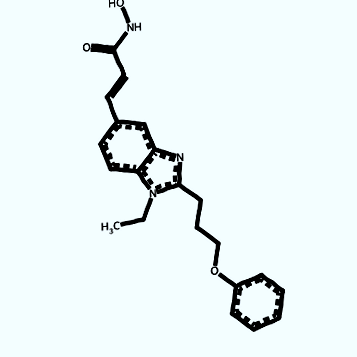 CCn1c(CCCOc2ccccc2)nc2cc(C=CC(=O)NO)ccc21